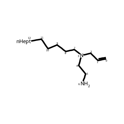 C=CCN(CCN)CCCCCCCCCCCC